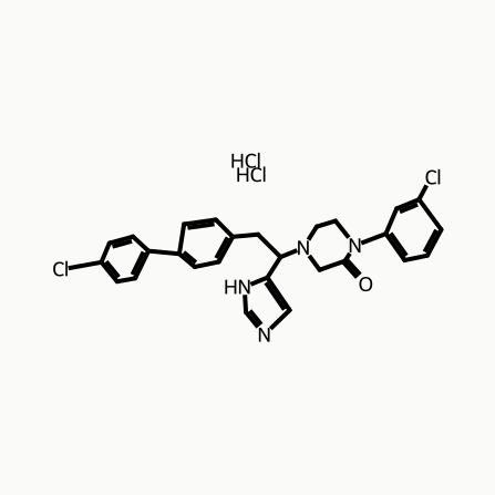 Cl.Cl.O=C1CN(C(Cc2ccc(-c3ccc(Cl)cc3)cc2)c2cnc[nH]2)CCN1c1cccc(Cl)c1